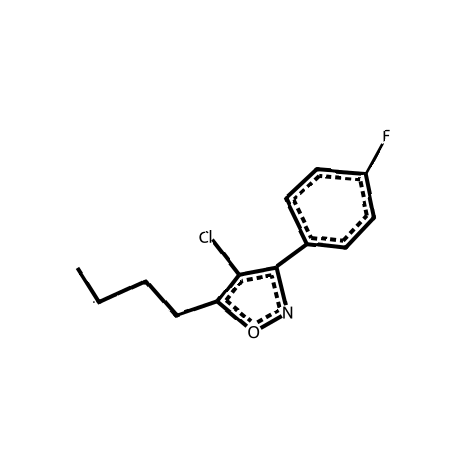 C[CH]CCc1onc(-c2ccc(F)cc2)c1Cl